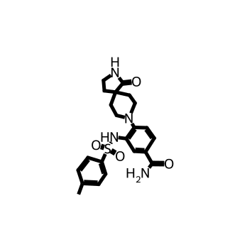 Cc1ccc(S(=O)(=O)Nc2cc(C(N)=O)ccc2N2CCC3(CCNC3=O)CC2)cc1